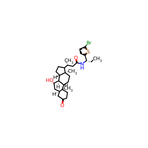 CC[C@H](NC(=O)C[C@@H](C)C1CC[C@H]2[C@@H]3[C@H](O)C[C@@H]4CC(=O)CC[C@]4(C)[C@H]3CC[C@]12C)c1ccc(Br)s1